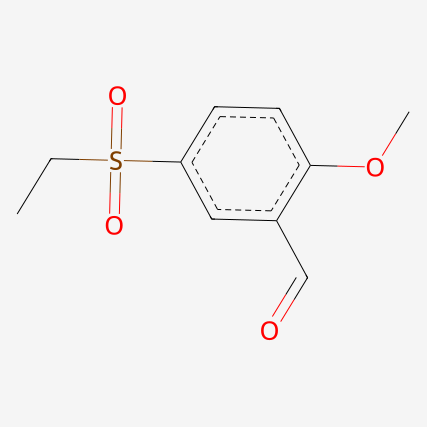 CCS(=O)(=O)c1ccc(OC)c(C=O)c1